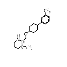 N[C@H]1CCCN[C@H]1COC1CCC(c2cccc(C(F)(F)F)c2)CC1